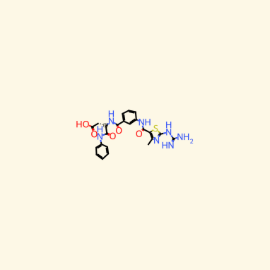 Cc1nc(NC(=N)N)sc1C(=O)Nc1cccc(C(=O)N[C@@H](CC(=O)O)C(=O)Nc2ccccc2)c1